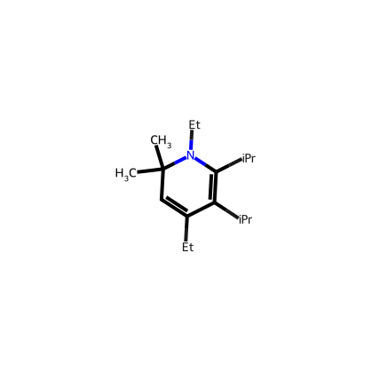 CCC1=CC(C)(C)N(CC)C(C(C)C)=C1C(C)C